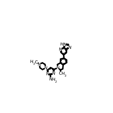 CC1Cc2ccc(-c3cnc4[nH]cnc4c3)cc2CN1c1cc(N2CCN(C)CC2)nc(N)n1